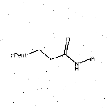 CCCCCCCC(=O)NC(C)C